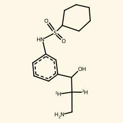 [2H]C([2H])(CN)C(O)c1cccc(NS(=O)(=O)C2CCCCC2)c1